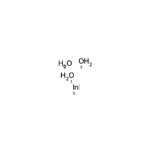 O.O.O.[In]